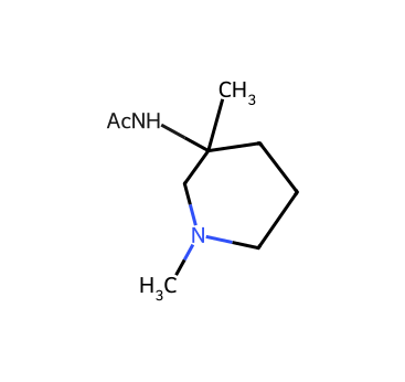 CC(=O)NC1(C)CCCN(C)C1